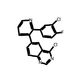 Fc1ccc(-c2ncccc2-c2ccc3ncnc(Cl)c3c2)cc1Cl